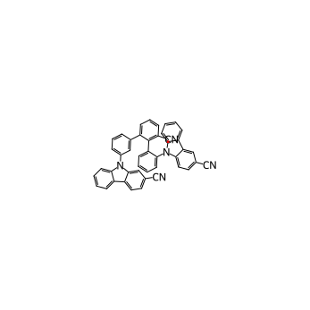 N#Cc1ccc2c(c1)c1ccccc1n2-c1ccccc1-c1c(C#N)cccc1-c1cccc(-n2c3ccccc3c3ccc(C#N)cc32)c1